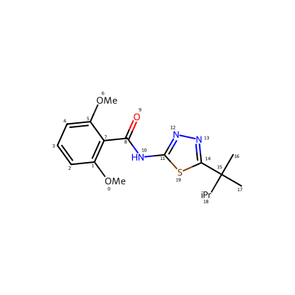 COc1cccc(OC)c1C(=O)Nc1nnc(C(C)(C)C(C)C)s1